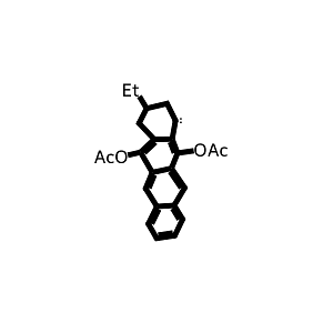 CC[C]1C[C]c2c(c(OC(C)=O)c3cc4ccccc4cc3c2OC(C)=O)C1